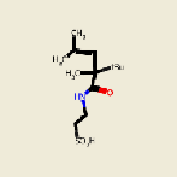 CC(C)=CC(C)(C(=O)NCCS(=O)(=O)O)C(C)(C)C